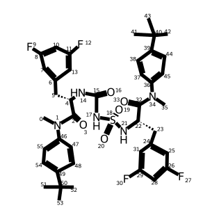 CN(C(=O)[C@H](Cc1cc(F)cc(F)c1)NC(=O)NS(=O)(=O)N[C@@H](Cc1cc(F)cc(F)c1)C(=O)N(C)c1ccc(C(C)(C)C)cc1)c1ccc(C(C)(C)C)cc1